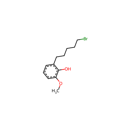 COc1cccc(CCCCCBr)c1O